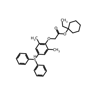 CCC1(OC(=O)COc2c(C)cc([SH](c3ccccc3)c3ccccc3)cc2C)CCCCC1